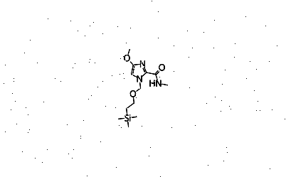 CNC(=O)c1nc(OC)cn1COCC[Si](C)(C)C